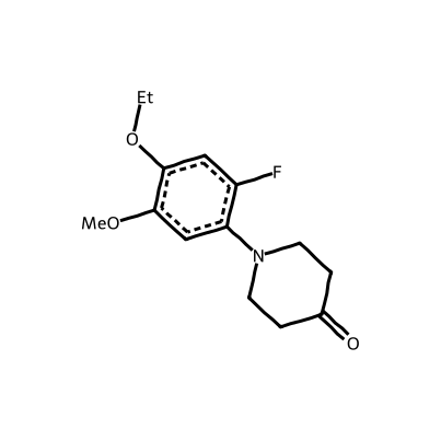 CCOc1cc(F)c(N2CCC(=O)CC2)cc1OC